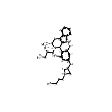 C[C@@H]1Cc2c([nH]c3ccccc23)C(c2c(F)cc(CC3CN(CCCF)C3)cc2F)N1C[C@H](F)CO